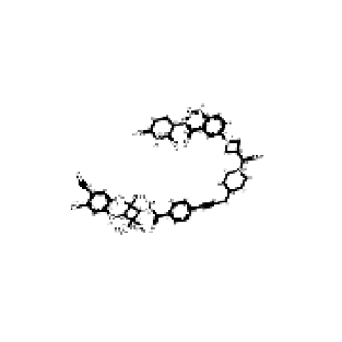 CC1(C)[C@H](NC(=O)c2ccc(C#CCC3CCN(C(=O)C4CN(c5ccc6nnn(C7CCC(=O)NC7=O)c(=O)c6c5)C4)CC3)cc2)C(C)(C)[C@H]1Oc1ccc(C#N)c(Cl)c1